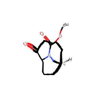 CC(C)(C)OC(=O)N1C2CC[C@@H]1CCCC2=O